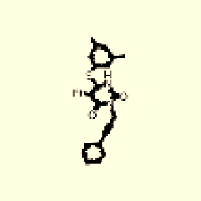 CCc1c(Sc2cc(C)cc(C)c2)[nH]c(=O)n(CC#Cc2ccccc2)c1=O